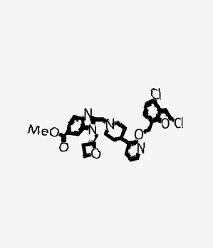 COC(=O)c1ccc2nc(CN3CCC(c4cccnc4OCc4ccc(Cl)c5cc(Cl)oc45)CC3)n(C[C@@H]3CCO3)c2c1